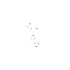 CCC[C@H](C(=O)N[C@@H](CC(=O)O)c1cncc(-c2c(C)cccc2C)c1)n1ccc(C)cc1=O